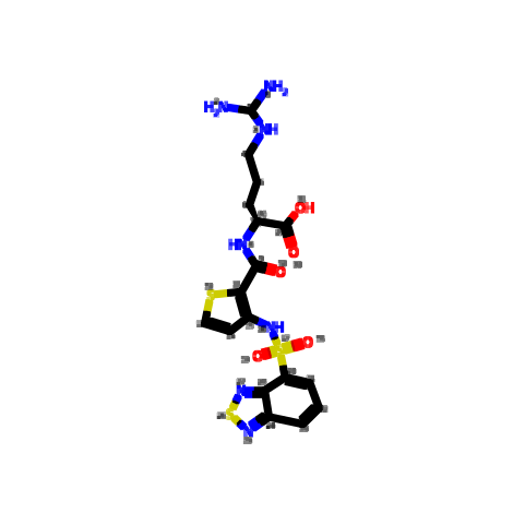 NC(N)NCCC[C@H](NC(=O)c1sccc1NS(=O)(=O)c1cccc2nsnc12)C(=O)O